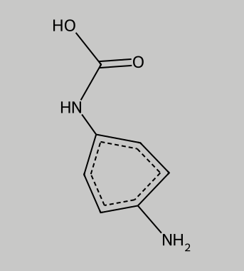 Nc1ccc(NC(=O)O)cc1